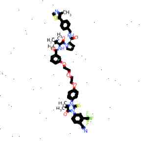 Cc1ncsc1-c1ccc(CNC(=O)[C@@H]2CCCN2C(=O)C(NC(=O)c2cccc(OCCOCCOc3ccc(N4C(=S)N(c5ccc(C#N)c(C(F)(F)F)c5)C(=O)C4(C)C)cc3)c2)C(C)(C)C)cc1